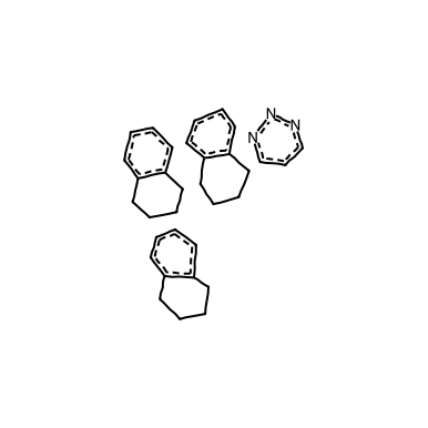 c1ccc2c(c1)CCCC2.c1ccc2c(c1)CCCC2.c1ccc2c(c1)CCCC2.c1cnnnc1